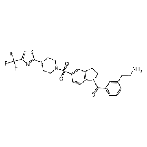 NCCc1cccc(C(=O)N2CCc3cc(S(=O)(=O)N4CCN(c5nc(C(F)(F)F)cs5)CC4)ccc32)c1